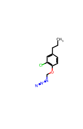 CCCc1ccc(OCN=[N+]=[N-])c(Cl)c1